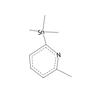 Cc1ccc[c]([Sn]([CH3])([CH3])[CH3])n1